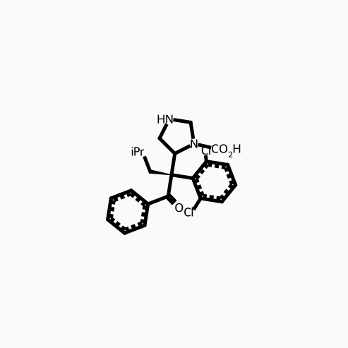 CC(C)C[C@](C(=O)c1ccccc1)(c1c(Cl)cccc1Cl)C1CNCN1C(=O)O